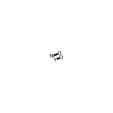 [O]=[Ni].[O]=[Y]